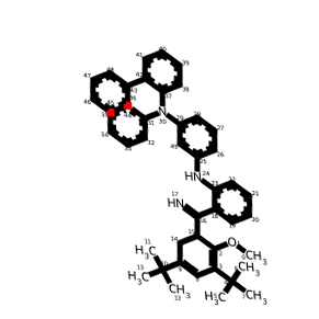 COC1=C(C(C)(C)C)C=C(C(C)(C)C)CC1C(=N)c1ccccc1Nc1cccc(N(c2ccccn2)c2ccccc2-c2ccccc2)c1